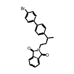 CC(CCN1C(=O)c2ccccc2C1=O)c1ccc(-c2ccc(Br)cc2)cc1